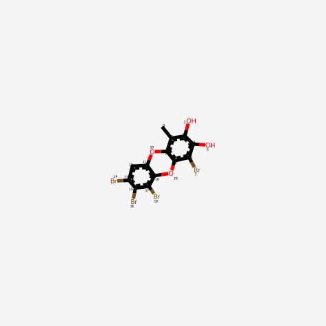 Cc1c(O)c(O)c(Br)c2c1Oc1cc(Br)c(Br)c(Br)c1O2